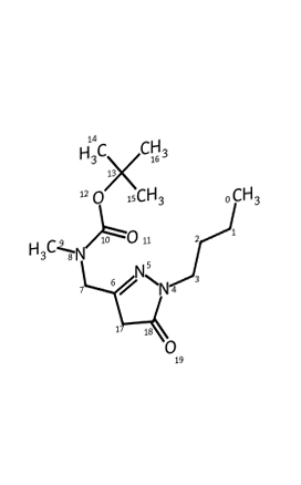 CCCCN1N=C(CN(C)C(=O)OC(C)(C)C)CC1=O